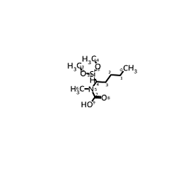 CCCCC(N(C)C(=O)O)[SiH](OC)OC